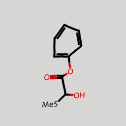 CSC(O)C(=O)Oc1ccccc1